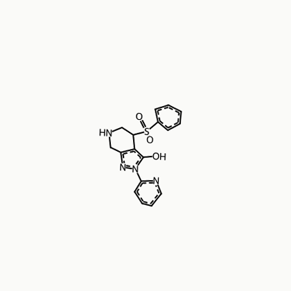 O=S(=O)(c1ccccc1)C1CNCc2nn(-c3ccccn3)c(O)c21